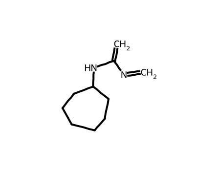 C=NC(=C)NC1CCCCCC1